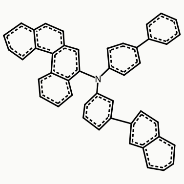 c1ccc(-c2ccc(N(c3cccc(-c4ccc5ccccc5c4)c3)c3cc4ccc5ccccc5c4c4ccccc34)cc2)cc1